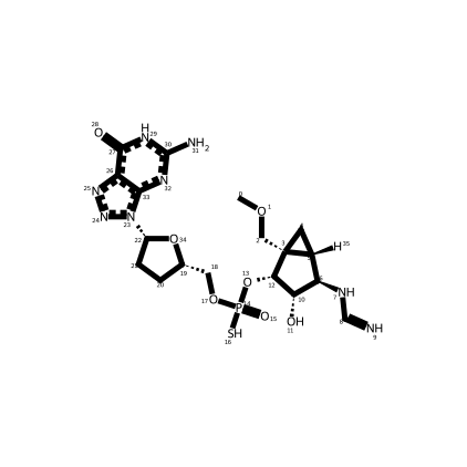 COC[C@]12C[C@@H]1[C@@H](NC=N)[C@H](O)[C@@H]2OP(=O)(S)OC[C@@H]1CC[C@H](n2nnc3c(=O)[nH]c(N)nc32)O1